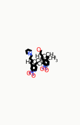 CC(C)(C)c1ccc([N+](=O)[O-])cc1C=CCC=O.CC(C)(C)c1ccc([N+](=O)[O-])cc1C=CCCN1CCCC1